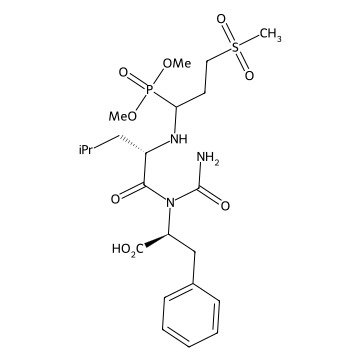 COP(=O)(OC)C(CCS(C)(=O)=O)N[C@@H](CC(C)C)C(=O)N(C(N)=O)[C@@H](Cc1ccccc1)C(=O)O